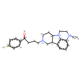 CN1CCN2c3c(cccc31)C1CN(CCCC(=O)c3ccc(F)cc3)CCC12